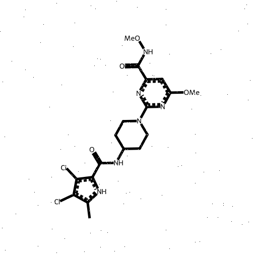 CONC(=O)c1cc(OC)nc(N2CCC(NC(=O)c3[nH]c(C)c(Cl)c3Cl)CC2)n1